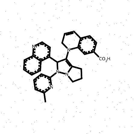 Cc1cccc(N2C(c3ccnc4ccccc34)C(N3CC=Cc4ccc(C(=O)O)cc43)=C3CCCN32)n1